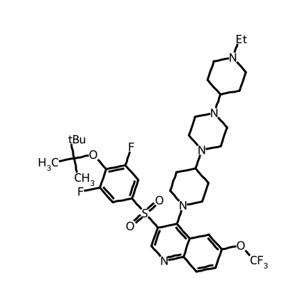 CCN1CCC(N2CCN(C3CCN(c4c(S(=O)(=O)c5cc(F)c(OC(C)(C)C(C)(C)C)c(F)c5)cnc5ccc(OC(F)(F)F)cc45)CC3)CC2)CC1